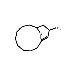 CC1C=C2CCCCCCCCC(C1)O2